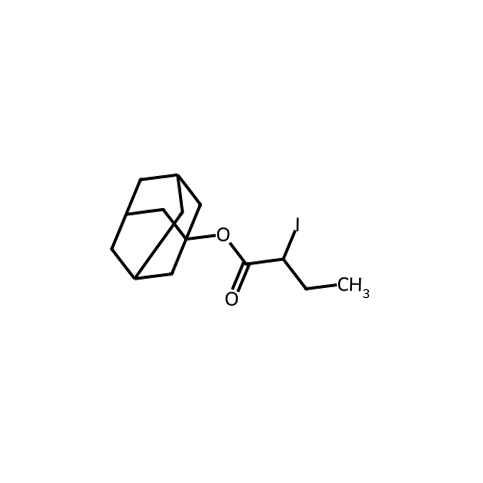 CCC(I)C(=O)OC12CC3CC(CC(C3)C1)C2